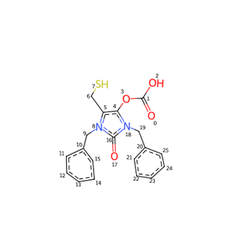 O=C(O)Oc1c(CS)n(Cc2ccccc2)c(=O)n1Cc1ccccc1